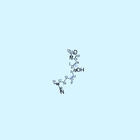 C/C(=C/C[C@H](O)/C(C)=C/c1coc(C)n1)CCC[C@H](C)C#N